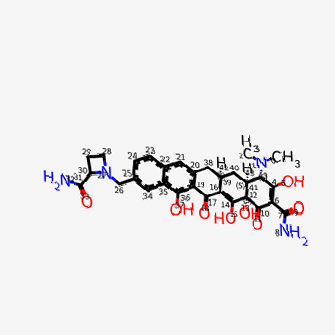 CN(C)[C@@H]1C(O)=C(C(N)=O)C(=O)[C@@]2(O)C(O)=C3C(=O)c4c(cc5ccc(CN6CCC6C(N)=O)cc5c4O)C[C@H]3C[C@@H]12